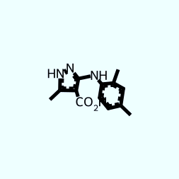 Cc1ccc(Nc2n[nH]c(C)c2C(=O)O)c(C)c1